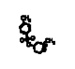 Cc1ccc(S(=O)(=O)OC2CCO[C@H](C)C2)cc1